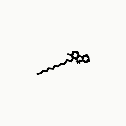 CCCCCCCCCCCCc1c(C)ccc2c1[N]c1ccccc1-2